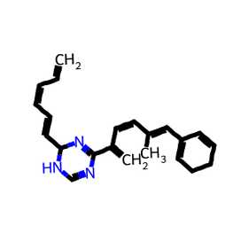 C=C/C=C\C=C\C1N=C(C(=C)/C=C\C(C)=C\C2=CCCC=C2)N=CN1